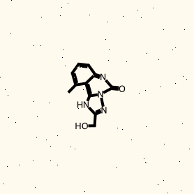 Cc1cccc2nc(=O)n3nc(CO)[nH]c3c12